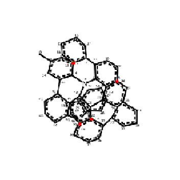 Cc1ccc(N(c2ccccc2-c2ccccc2)c2ccccc2-c2cccc3cccc(-c4ccccc4)c23)c(-c2cccc3sc4ccccc4c23)c1